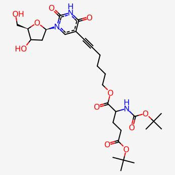 CC(C)(C)OC(=O)CCC(NC(=O)OC(C)(C)C)C(=O)OCCCCC#Cc1cn([C@H]2CC(O)[C@@H](CO)O2)c(=O)[nH]c1=O